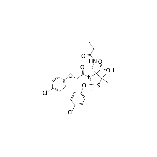 CCC(=O)NCC1(C(=O)O)N(C(=O)COc2ccc(Cl)cc2)C(C)(Oc2ccc(Cl)cc2)SC1(C)C